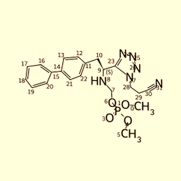 COP(=O)(OC)OCN[C@@H](Cc1ccc(-c2ccccc2)cc1)c1nnnn1CCC#N